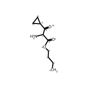 CCCCOC(=O)C(N)C(=O)C1CC1